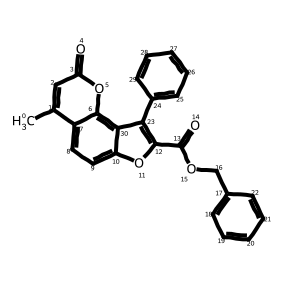 Cc1cc(=O)oc2c1ccc1oc(C(=O)OCc3ccccc3)c(-c3ccccc3)c12